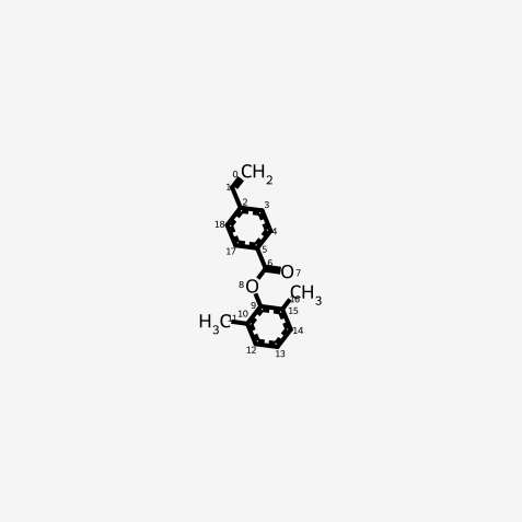 C=Cc1ccc(C(=O)Oc2c(C)cccc2C)cc1